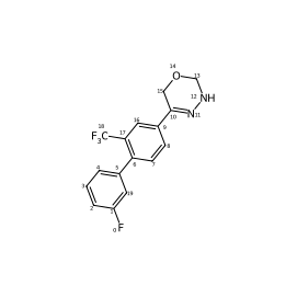 Fc1cccc(-c2ccc(C3=NNCOC3)cc2C(F)(F)F)c1